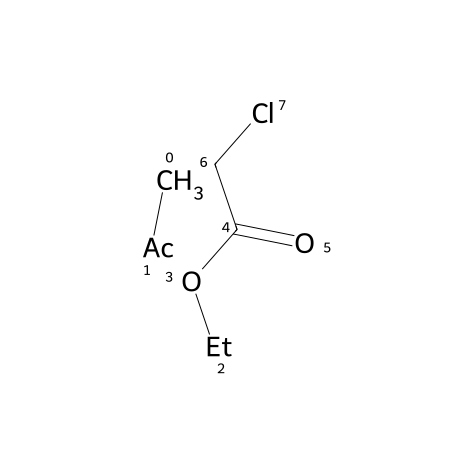 CC(C)=O.CCOC(=O)CCl